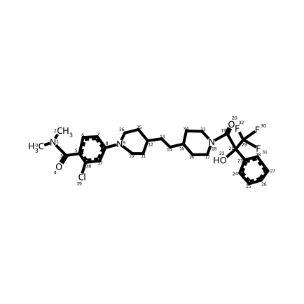 CN(C)C(=O)c1ccc(N2CCC(CCC3CCN(C(=O)C(O)(c4ccccc4)C(F)(F)F)CC3)CC2)cc1Cl